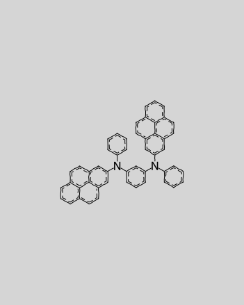 c1ccc(N(c2cccc(N(c3ccccc3)c3cc4ccc5cccc6ccc(c3)c4c56)c2)c2cc3ccc4cccc5ccc(c2)c3c45)cc1